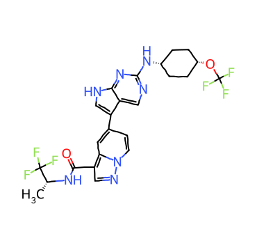 C[C@@H](NC(=O)c1cnn2ccc(-c3c[nH]c4nc(N[C@H]5CC[C@@H](OC(F)(F)F)CC5)ncc34)cc12)C(F)(F)F